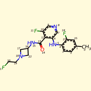 Cc1ccc(Nc2cncc(F)c2C(=O)NC2CN(CCF)C2)c(F)c1